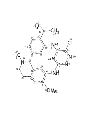 COc1cc2c(cc1Nc1nnc(Cl)c(Nc3ccccc3P(C)C)n1)CN(C)CC2